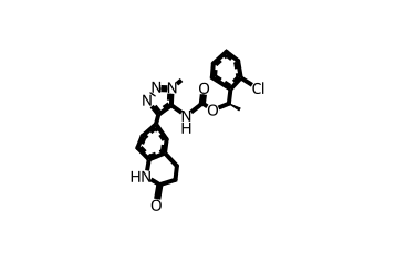 C[C@@H](OC(=O)Nc1c(-c2ccc3c(c2)CCC(=O)N3)nnn1C)c1ccccc1Cl